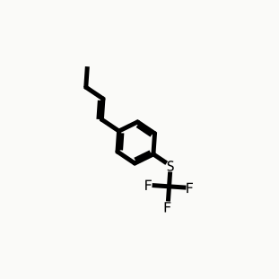 CCC=Cc1ccc(SC(F)(F)F)cc1